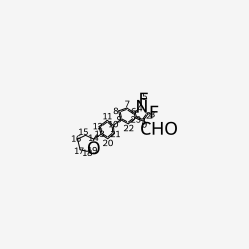 O=Cc1c(F)n(F)c2ccc(-c3ccc(C4CCCCO4)cc3)cc12